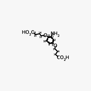 Nc1cc(OCCCC(=O)O)ccc1OCCCC(=O)O